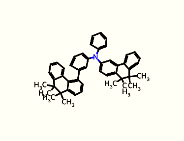 CC1(C)c2ccccc2-c2cc(N(c3ccccc3)c3cccc(-c4cccc5c4-c4ccccc4C(C)(C)C5(C)C)c3)ccc2C1(C)C